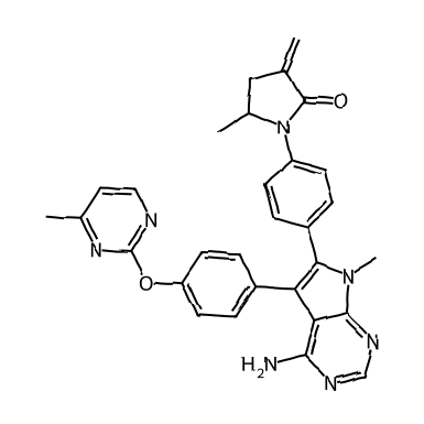 C=C1CC(C)N(c2ccc(-c3c(-c4ccc(Oc5nccc(C)n5)cc4)c4c(N)ncnc4n3C)cc2)C1=O